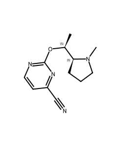 C[C@H](Oc1nccc(C#N)n1)[C@@H]1CCCN1C